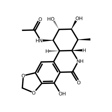 CC(=O)N[C@H]1[C@H](O)[C@@H](O)[C@@H](C)[C@@H]2NC(=O)c3c(cc4c(c3O)OCO4)[C@H]21